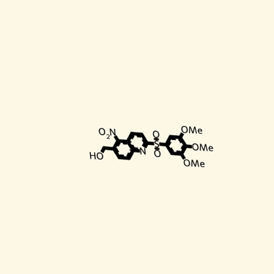 COc1cc(S(=O)(=O)c2ccc3c([N+](=O)[O-])c(CO)ccc3n2)cc(OC)c1OC